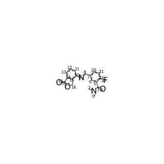 CN(C)C(=O)c1cc(C=Nc2cccc3c2COC3=O)ccc1F